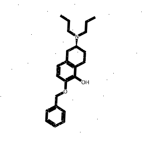 CCCN(CCC)[C@H]1CCc2c(ccc(OCc3ccccc3)c2O)C1